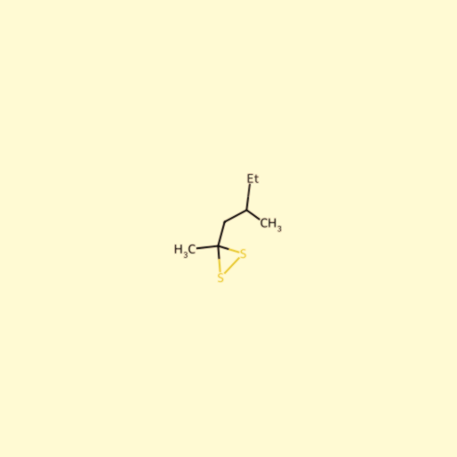 CCC(C)CC1(C)SS1